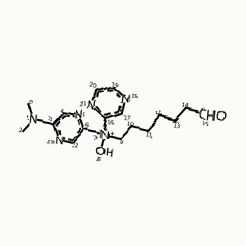 CN(C)c1cnc([N+](O)(CCCCCCC=O)c2cnccn2)cn1